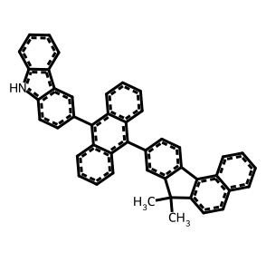 CC1(C)c2cc(-c3c4ccccc4c(-c4ccc5[nH]c6ccccc6c5c4)c4ccccc34)ccc2-c2c1ccc1ccccc21